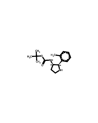 Cc1ccccc1[C@H]1NCC[C@H]1NC(=O)OC(C)(C)C